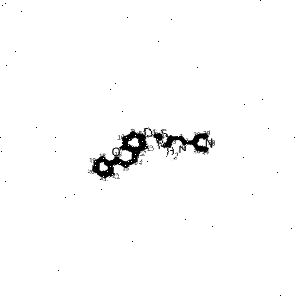 NC(Cc1cnc(Oc2ccc3c(c2)CCC(c2ccccc2)O3)s1)c1ccncc1